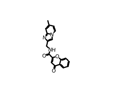 Cc1ccn2cc(CNC(=O)c3cc(=O)c4ccccc4o3)nc2c1